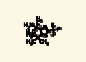 CC(C)(C)c1sc(C(F)(F)F)nc1C(C)(C)N